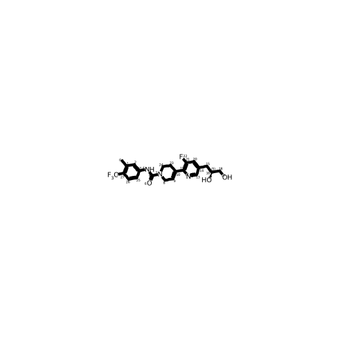 Cc1cc(NC(=O)N2CC=C(c3ncc(C[C@H](O)CO)cc3F)CC2)ccc1C(F)(F)F